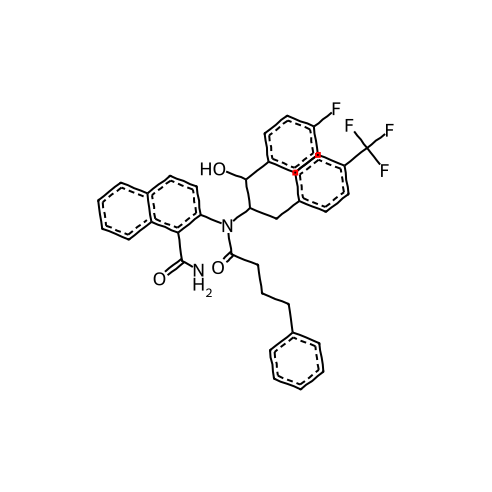 NC(=O)c1c(N(C(=O)CCCc2ccccc2)C(Cc2ccc(C(F)(F)F)cc2)C(O)c2ccc(F)cc2)ccc2ccccc12